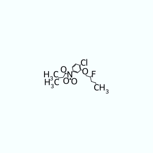 CCCC(F)COc1cc(N2C(=O)OC(C(C)C)C2=O)ccc1Cl